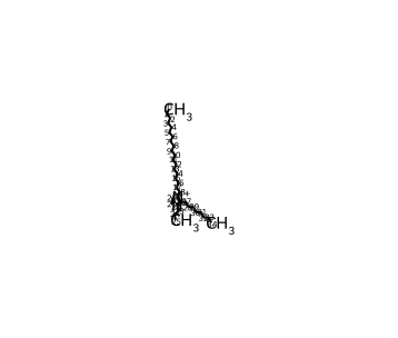 CCCCCCCCCCCCCCCCCCC[n+]1ccn(CCC)c1CCCCCCCC